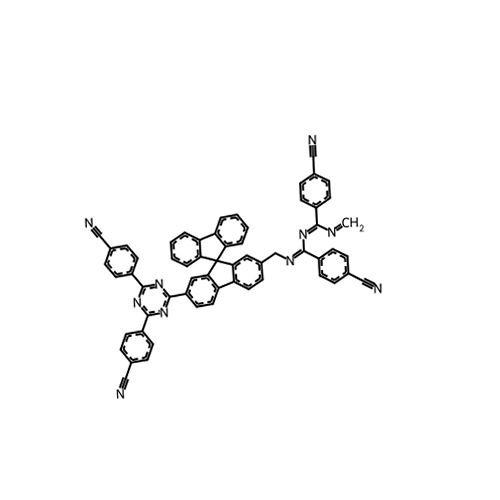 C=N/C(=N\C(=N/Cc1ccc2c(c1)C1(c3ccccc3-c3ccccc31)c1cc(-c3nc(-c4ccc(C#N)cc4)nc(-c4ccc(C#N)cc4)n3)ccc1-2)c1ccc(C#N)cc1)c1ccc(C#N)cc1